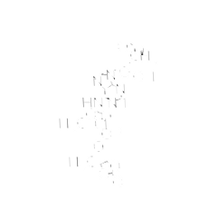 Cc1oc(=O)oc1COC(=O)CC(C)(C)OC(=O)Nc1nc(F)nc2c1ncn2[C@H]1C[C@H](OC(=O)C2CCCCC2)[C@@](C)(CO)O1